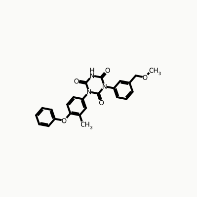 COCc1cccc(-n2c(=O)[nH]c(=O)n(-c3ccc(Oc4ccccc4)c(C)c3)c2=O)c1